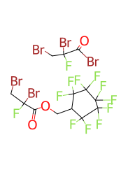 O=C(Br)C(F)(Br)CBr.O=C(OCC1C(F)(F)C(F)(F)C(F)(F)C(F)(F)C1(F)F)C(F)(Br)CBr